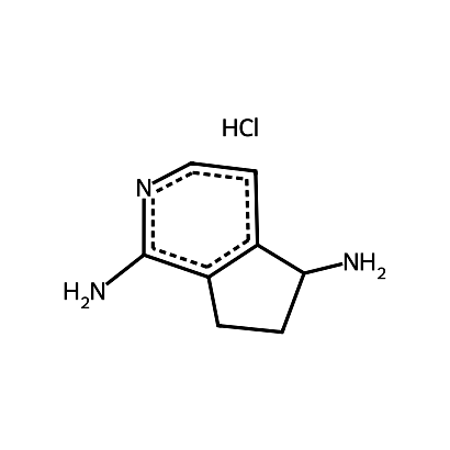 Cl.Nc1nccc2c1CCC2N